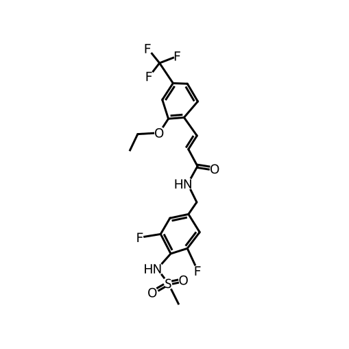 CCOc1cc(C(F)(F)F)ccc1C=CC(=O)NCc1cc(F)c(NS(C)(=O)=O)c(F)c1